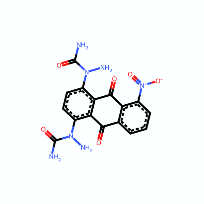 NC(=O)N(N)c1ccc(N(N)C(N)=O)c2c1C(=O)c1cccc([N+](=O)[O-])c1C2=O